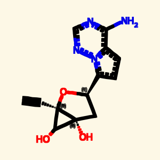 C#C[C@]12O[C@@H](c3ccc4c(N)ncnn34)C[C@@]1(O)C2O